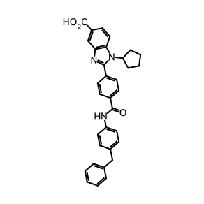 O=C(O)c1ccc2c(c1)nc(-c1ccc(C(=O)Nc3ccc(Cc4ccccc4)cc3)cc1)n2C1CCCC1